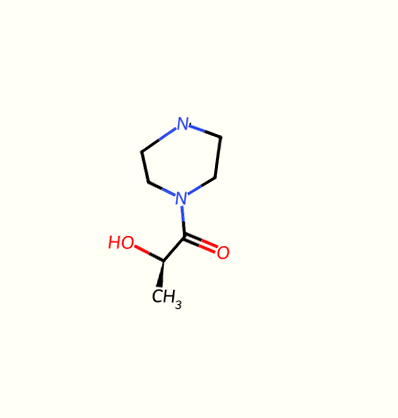 C[C@@H](O)C(=O)N1CC[N]CC1